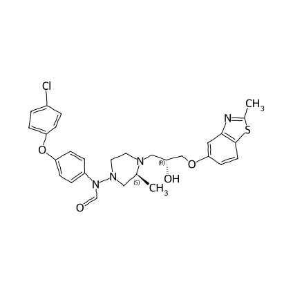 Cc1nc2cc(OC[C@H](O)CN3CCN(N(C=O)c4ccc(Oc5ccc(Cl)cc5)cc4)C[C@@H]3C)ccc2s1